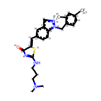 CN(C)CCCNC1=NC(=O)/C(=C/c2ccc3c(cnn3Cc3ccc(C(F)(F)F)cc3C(F)(F)F)c2)S1